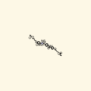 [C-]#[N+]/C(=C\c1ccc(OCCCCOC(=O)C=C)c(OC)c1)C(=O)Oc1ccc(NC(=O)c2ccc(OCCCCOC(=O)C=C)cc2)cc1